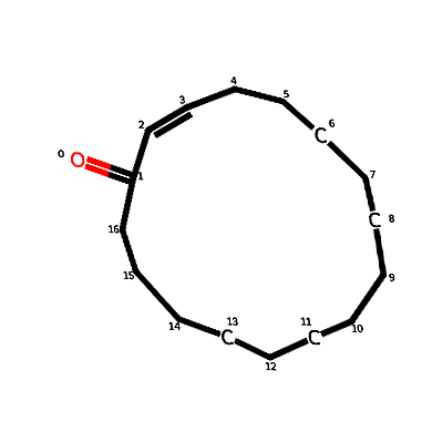 O=C1/C=C\CCCCCCCCCCCCC1